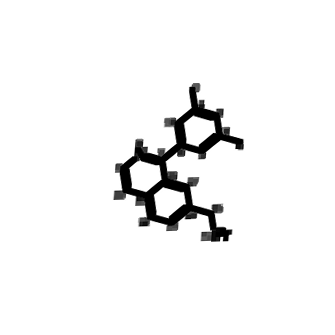 Cc1cc(C)cc(-c2nccc3ccc(CC(C)C)cc23)c1